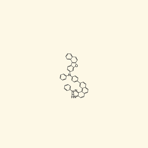 N=C1C=Cc2ccc3ccc(-c4ccc(N(c5ccccc5)c5ccc6c(c5)oc5ccc7ccccc7c56)cc4)cc3c2/C1=N/Nc1ccccc1